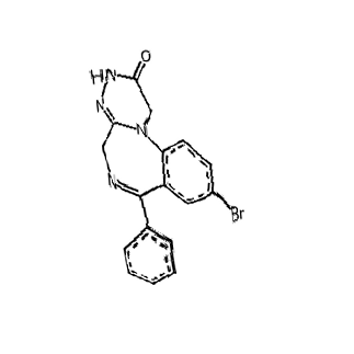 O=C1CN2C(=NN1)CN=C(c1ccccc1)c1cc(Br)ccc12